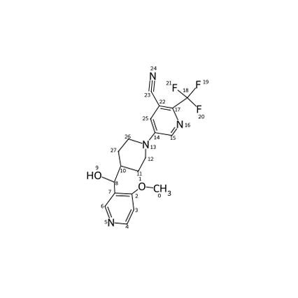 COc1ccncc1C(O)C1CCN(c2cnc(C(F)(F)F)c(C#N)c2)CC1